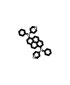 c1ccc(N(c2ccncc2)c2ccc3ccc4c(N(c5ccccc5)c5ccncc5)ccc5ccc2c3c54)cc1